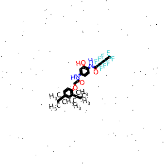 CCC(C)(C)c1ccc(OCC(=O)Nc2ccc(NC(=O)C(F)(F)C(F)(F)C(F)(F)C(F)F)c(O)c2)c(C(C)(C)CC)c1